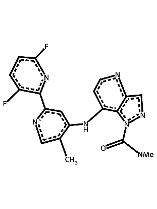 CNC(=O)n1ncc2nccc(Nc3cc(-c4nc(F)ccc4F)ncc3C)c21